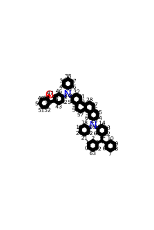 c1ccc(C(c2ccccc2)c2cccc(N(c3ccccc3)c3ccc4ccc5c6ccc(N(c7ccccc7)c7ccc8c(c7)oc7ccccc78)cc6ccc5c4c3)c2)cc1